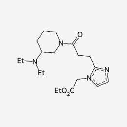 CCOC(=O)Cn1ccnc1CCC(=O)N1CCCC(N(CC)CC)C1